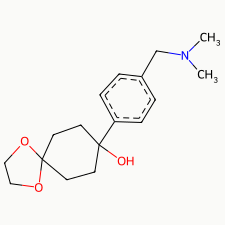 CN(C)Cc1ccc(C2(O)CCC3(CC2)OCCO3)cc1